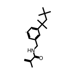 C=C(C)C(=O)NCc1c[c]cc(C(C)(C)CC(C)(C)C)c1